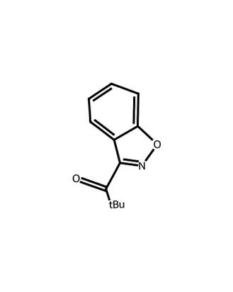 CC(C)(C)C(=O)c1noc2ccccc12